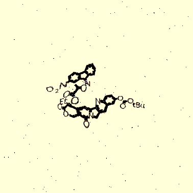 CC[C@@]1(OC(=O)C(C)O/N=C2/c3ccccc3-c3ccc([N+](=O)[O-])cc32)C(=O)OCc2c1cc1n(c2=O)Cc2cc3cc(OC(=O)OC(C)(C)C)ccc3nc2-1